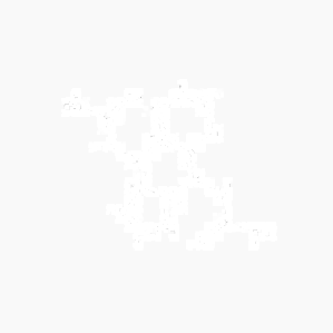 CC(C)(C)C(=O)Oc1c2ccccc2c(OC(=O)C(C)(C)C)c2occc12